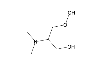 CN(C)C(CO)COO